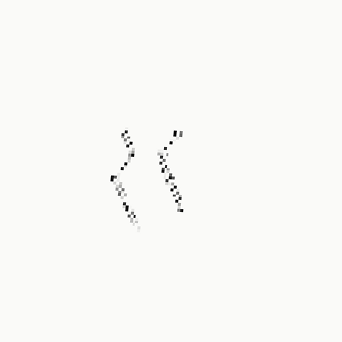 C=C(N=C=O)[N+]([O-])=C=O